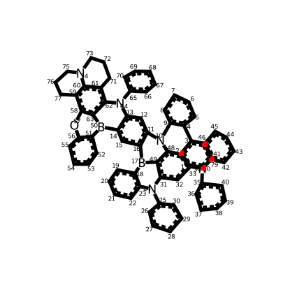 c1ccc(-c2ccccc2N2c3cc4c(cc3B3c5ccccc5N(c5ccccc5)c5cc(N(c6ccccc6)c6ccccc6)cc2c53)B2c3ccccc3Oc3c5c6c(c(c32)N4c2ccccc2)CCCN6CCC5)cc1